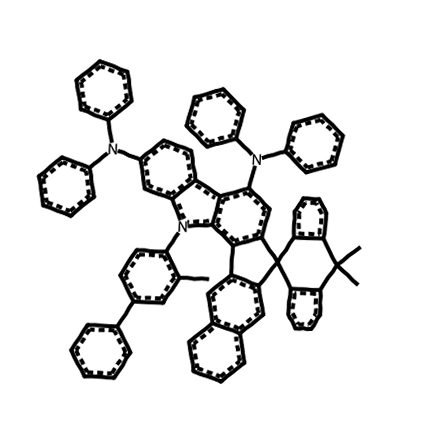 Cc1cc(-c2ccccc2)ccc1-n1c2cc(N(c3ccccc3)c3ccccc3)ccc2c2c(N(c3ccccc3)c3ccccc3)cc3c(c21)-c1cc2ccccc2cc1C31c2ccccc2C(C)(C)c2ccccc21